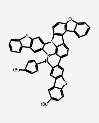 CC(C)(C)c1ccc(N2B3c4cc5c(cc4-n4c6ccc7oc8ccccc8c7c6c6ccc(c3c64)-c3cc4sc6ccc(C(C)(C)C)cc6c4cc32)sc2ccccc25)cc1